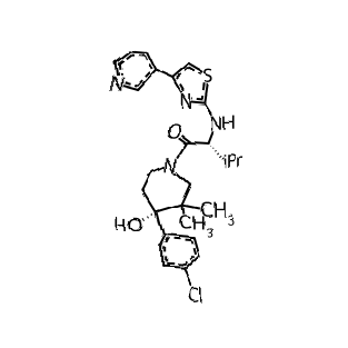 CC(C)[C@@H](Nc1nc(-c2cccnc2)cs1)C(=O)N1CC[C@](O)(c2ccc(Cl)cc2)C(C)(C)C1